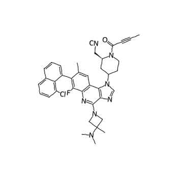 CC#CC(=O)N1CCC(n2cnc3c(N4CC(C)(N(C)C)C4)nc4c(F)c(-c5cccc6cccc(Cl)c56)c(C)cc4c32)C[C@H]1CC#N